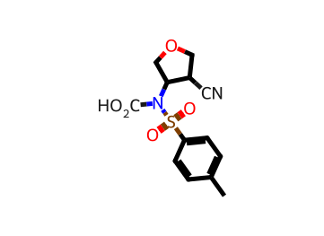 Cc1ccc(S(=O)(=O)N(C(=O)O)C2COCC2C#N)cc1